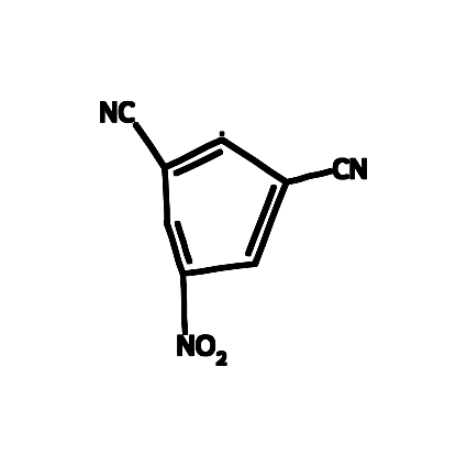 N#Cc1[c]c(C#N)cc([N+](=O)[O-])c1